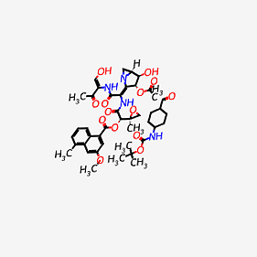 CC(C)(C)OC(=O)NC1CCC(C=O)CC1.COc1cc(C(=O)O[C@H](C(=O)N/C(C(=O)N/C(=C\O)C(C)=O)=C2\[C@@H](OC(C)=O)[C@H](O)[C@@H]3CN23)[C@]2(C)CO2)c2cccc(C)c2c1